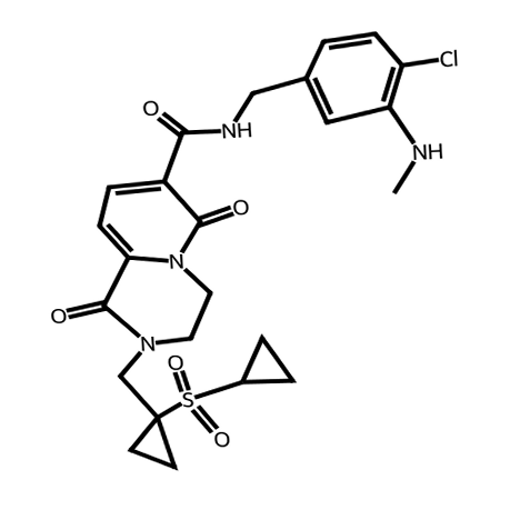 CNc1cc(CNC(=O)c2ccc3n(c2=O)CCN(CC2(S(=O)(=O)C4CC4)CC2)C3=O)ccc1Cl